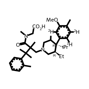 [2H]c1c([2H])c([C@]2(C(C)C)C(C)CN(CC(C)(C(=O)N(C)CC(=O)O)C(C)(C)c3ccccc3C)C[C@@H]2CC)c([2H])c(OC)c1C